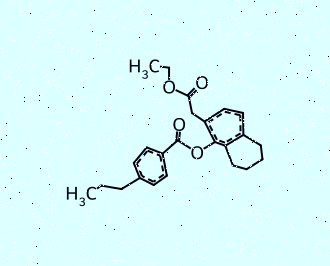 CCCc1ccc(C(=O)Oc2c(CC(=O)OCC)ccc3c2CCCC3)cc1